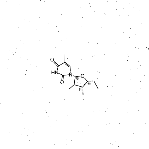 CC[C@H]1O[C@@H](n2cc(C)c(=O)[nH]c2=O)C(C)[C@H]1C